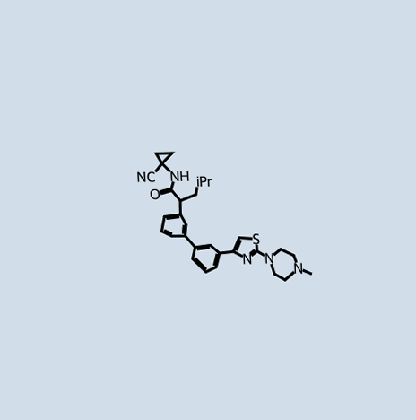 CC(C)CC(C(=O)NC1(C#N)CC1)c1cccc(-c2cccc(-c3csc(N4CCN(C)CC4)n3)c2)c1